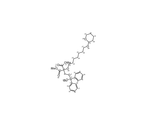 COC(=O)C(CO[Si](c1ccccc1)(c1ccccc1)C(C)(C)C)(OCCCCCCCOC1CCCCO1)C(=O)OC